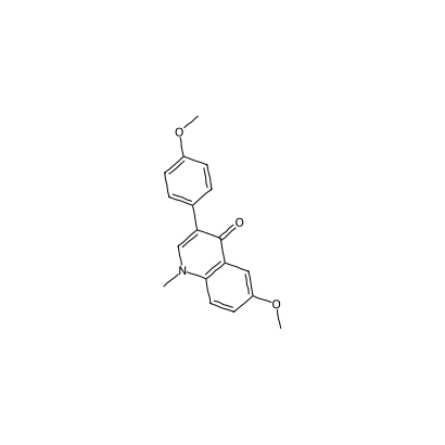 COc1ccc(-c2cn(C)c3ccc(OC)cc3c2=O)cc1